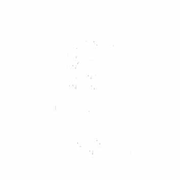 [2H]COc1nc(N[C@@H]2CCN(S(C)(=O)=O)CC2(F)F)nn2ccc(-c3ccc4nnn(CCF)c4c3)c12